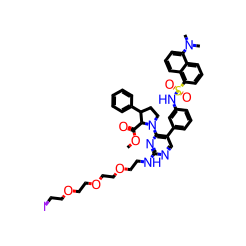 COC(=O)C1C(c2ccccc2)CCN1c1nc(NCCOCCOCCOCCI)ncc1-c1cccc(NS(=O)(=O)c2cccc3c(N(C)C)cccc23)c1